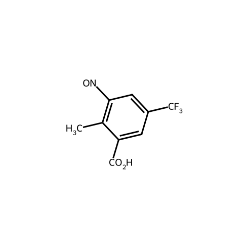 Cc1c(N=O)cc(C(F)(F)F)cc1C(=O)O